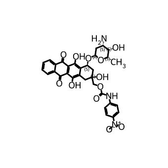 C[C@@H]1O[C@@H](O[C@H]2C[C@](O)(COC(=O)Nc3ccc([N+](=O)[O-])cc3)Cc3c(O)c4c(c(O)c32)C(=O)c2ccccc2C4=O)C[C@H](N)[C@@H]1O